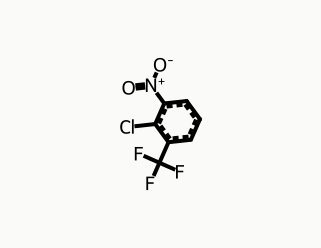 O=[N+]([O-])c1cccc(C(F)(F)F)c1Cl